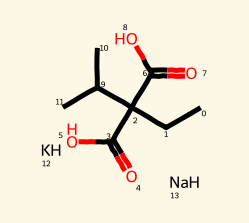 CCC(C(=O)O)(C(=O)O)C(C)C.[KH].[NaH]